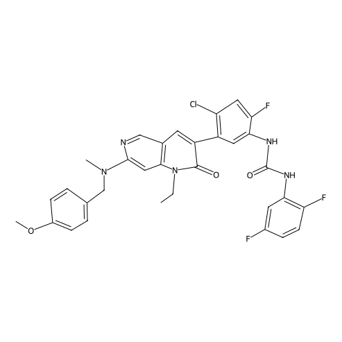 CCn1c(=O)c(-c2cc(NC(=O)Nc3cc(F)ccc3F)c(F)cc2Cl)cc2cnc(N(C)Cc3ccc(OC)cc3)cc21